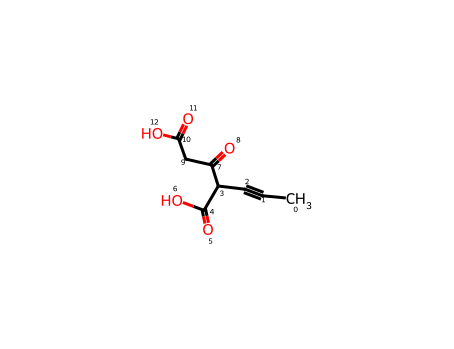 CC#CC(C(=O)O)C(=O)CC(=O)O